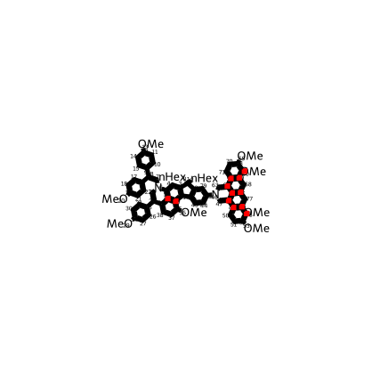 CCCCCCC1(CCCCCC)c2cc(N(C=C(c3ccc(OC)cc3)c3ccc(OC)cc3)C=C(c3ccc(OC)cc3)c3ccc(OC)cc3)ccc2-c2ccc(N(C=C(c3ccc(OC)cc3)c3ccc(OC)cc3)C=C(c3ccc(OC)cc3)c3ccc(OC)cc3)cc21